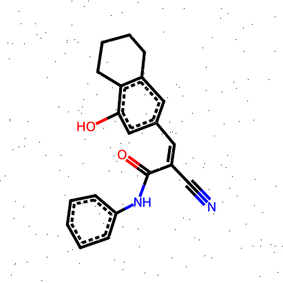 N#C/C(=C/c1cc(O)c2c(c1)CCCC2)C(=O)Nc1ccccc1